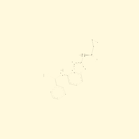 CC(Nc1cccc2nc(NC(=O)C3CC3)nn12)c1ccccc1